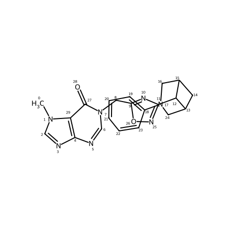 Cn1cnc2ncn(Cc3nc(C4C5CC4CN(c4ccccc4)C5)no3)c(=O)c21